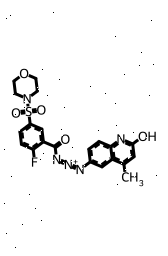 Cc1cc(O)nc2ccc(N=[N+]=NC(=O)c3cc(S(=O)(=O)N4CCOCC4)ccc3F)cc12